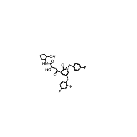 O=C(NC1CCCC1O)/C(O)=C/C(=O)c1cc(Cc2ccc(F)cc2F)cn(Cc2ccc(F)cc2)c1=O